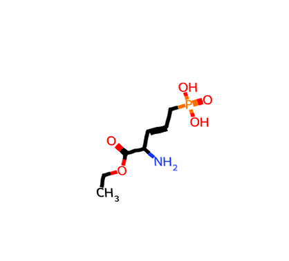 CCOC(=O)C(N)C=CCP(=O)(O)O